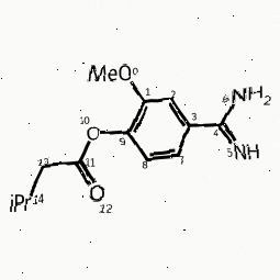 COc1cc(C(=N)N)ccc1OC(=O)CC(C)C